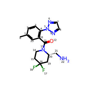 Cc1ccc(-n2nccn2)c(C(=O)N2CCC(F)(F)C[C@H]2CN)c1